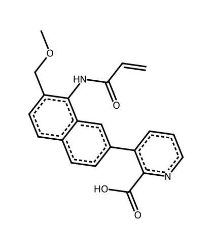 C=CC(=O)Nc1c(COC)ccc2ccc(-c3cccnc3C(=O)O)cc12